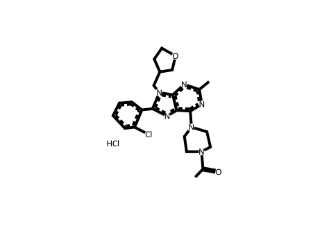 CC(=O)N1CCN(c2nc(C)nc3c2nc(-c2ccccc2Cl)n3CC2CCOC2)CC1.Cl